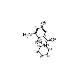 NC1=CC(Br)=CC(C(=O)N2CCCCC2)C1N